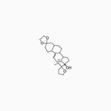 CCC1([C@@]2(O)CCC3C4CCC5CC6(CCC5C4=CC[C@@]32C)OCCO6)CCCO1